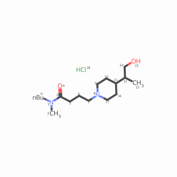 CCCCN(C)C(=O)CCCN1CCC(C(C)CO)CC1.Cl